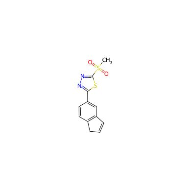 CS(=O)(=O)c1nnc(-c2ccc3c(c2)C=CC3)s1